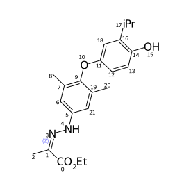 CCOC(=O)/C(C)=N\Nc1cc(C)c(Oc2ccc(O)c(C(C)C)c2)c(C)c1